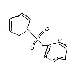 O=S(=O)(C1=NC=CC=[N+]1)N1C=CC=CC1